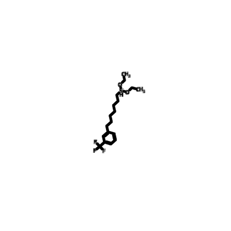 CCO[SiH](CCCCCCCc1cccc(C(F)(F)F)c1)OCC